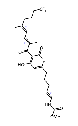 COC(=O)N/C=C/CCCc1cc(O)c(C(=O)/C(C)=C/C=C(\C)CCCC(F)(F)F)c(=O)o1